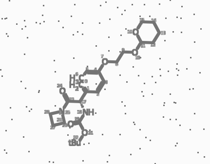 C=C(/C=C\C(=C/C)OCCOC1CCCCO1)[C@H](NC(=O)OC(C)(C)C)C(=O)N1CCC1